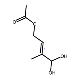 CC(=O)OC/C=C(\C)C(O)O